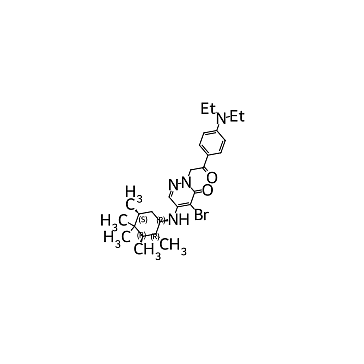 CCN(CC)c1ccc(C(=O)Cn2ncc(N[C@@H]3C[C@H](C)C(C)(C)[C@H](C)[C@H]3C)c(Br)c2=O)cc1